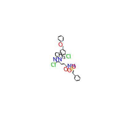 Cc1nc(Cl)c(/C=C/C(=O)NS(=O)(=O)/C=C/c2ccccc2)n1Cc1ccc(COc2ccccc2)cc1Cl